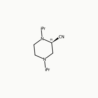 CC(C)N1CCN(C(C)C)[C@@H](C#N)C1